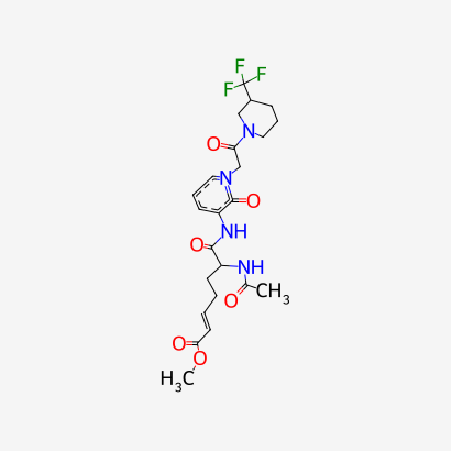 COC(=O)C=CCCC(NC(C)=O)C(=O)Nc1cccn(CC(=O)N2CCCC(C(F)(F)F)C2)c1=O